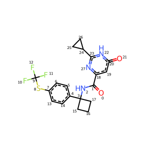 O=C(NC1(c2ccc(SC(F)(F)F)cc2)CCC1)c1cc(=O)[nH]c(C2CC2)n1